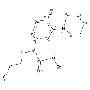 CCOC(=N)C(CCCCl)c1ccc(Cl)c(N2CCCCC2)c1